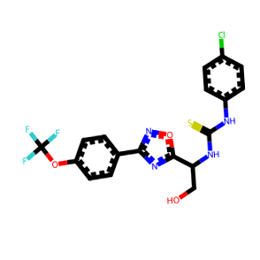 OCC(NC(=S)Nc1ccc(Cl)cc1)c1nc(-c2ccc(OC(F)(F)F)cc2)no1